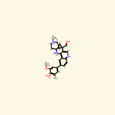 COc1cc(-c2ccc3ncc(C4(C=O)CC4)c(NC4CCN(C)CC4)c3c2)cc(Cl)c1O